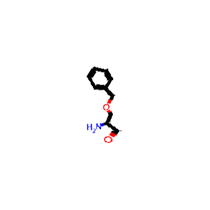 NC([C]=O)COCc1ccccc1